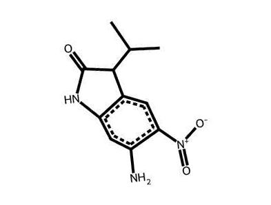 CC(C)C1C(=O)Nc2cc(N)c([N+](=O)[O-])cc21